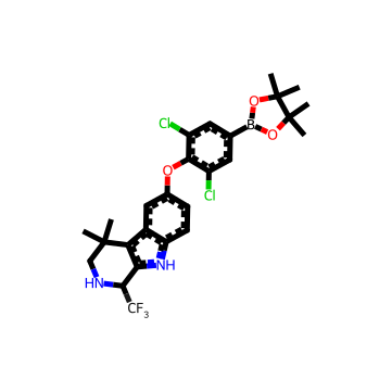 CC1(C)CNC(C(F)(F)F)c2[nH]c3ccc(Oc4c(Cl)cc(B5OC(C)(C)C(C)(C)O5)cc4Cl)cc3c21